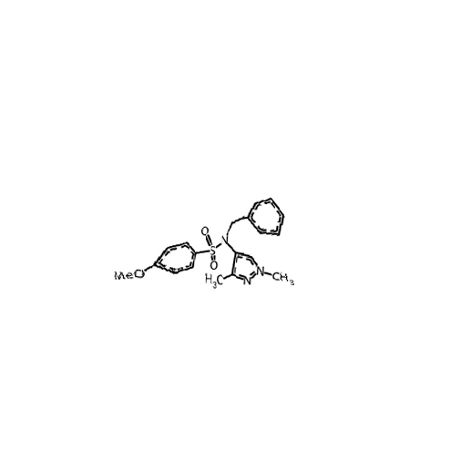 COc1ccc(S(=O)(=O)N(Cc2ccccc2)c2cn(C)nc2C)cc1